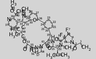 C=CC(=O)N1C[C@H](F)[C@](F)(C(=O)N(C)[C@H](C(=O)N[C@H]2Cc3cccc(c3)-c3ccc4c(c3)c(c(-c3cccnc3[C@H](C)OC)n4CC)CC(C)(C)COC(=O)[C@@H]3CCCN(N3)C2=O)C(C)C)C1